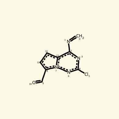 C=Nc1nc(Cl)nn2c(C=O)ccc12